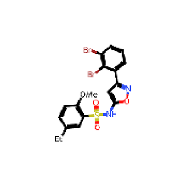 CCc1ccc(OC)c(S(=O)(=O)Nc2cc(-c3cccc(Br)c3Br)no2)c1